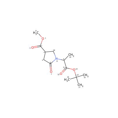 COC(=O)C1CC(=O)N(C(C)C(=O)OC(C)(C)C)C1